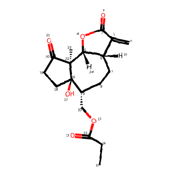 C=C1C(=O)O[C@@H]2[C@H]1CC[C@H](COC(=O)CC)[C@]1(O)CCC(=O)[C@@]21C